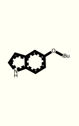 CCC(C)Oc1ccc2[nH]ccc2c1